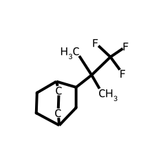 CC(C)(C1CC2CCC1CC2)C(F)(F)F